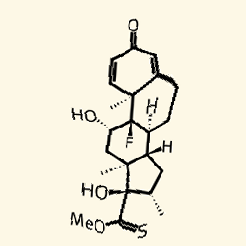 COC(=S)[C@@]1(O)[C@@H](C)C[C@H]2[C@@H]3CCC4=CC(=O)C=C[C@]4(C)[C@@]3(F)[C@@H](O)C[C@@]21C